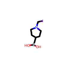 OB(O)C1CCN(CI)CC1